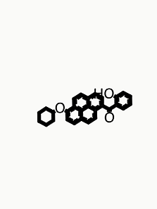 O=C(c1ccccc1O)c1ccc2ccc3c(OC4CCCCC4)ccc4ccc1c2c43